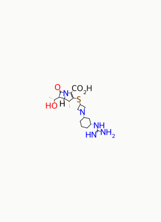 C[C@@H](O)[C@H]1C(=O)N2C(C(=O)O)=C(SC3CN([C@H]4CCC[C@@H](NC(=N)N)C4)C3)[C@H](C)[C@H]12